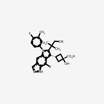 Cc1cc(-n2c(C(C)(C)CC#N)c([C@H]3C[C@](O)(C(=O)O)C3)c3c(F)c4[nH]ncc4cc32)ccc1F